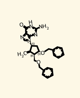 C=C1[C@H](COCc2ccccc2)[C@@H](OCc2ccccc2)C[C@@H]1n1cnc2c(=O)[nH]c(N)nc21